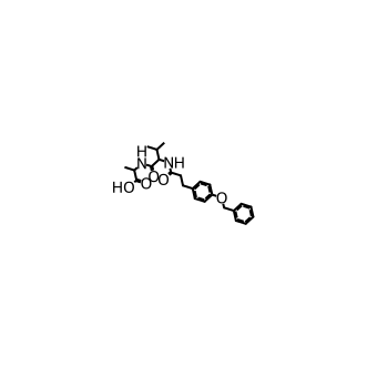 CC(NC(=O)C(NC(=O)CCc1ccc(OCc2ccccc2)cc1)C(C)C)C(=O)O